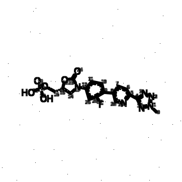 Cn1nnc(-c2ccc(-c3ccc(N4C[C@H](COP(=O)(O)O)OC4=O)cc3F)cn2)n1